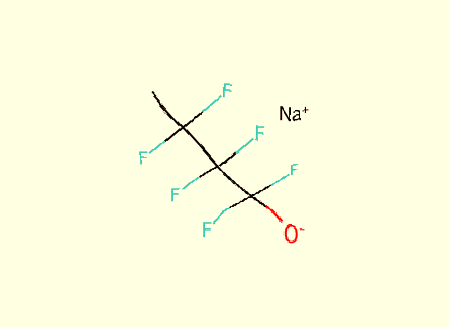 CC(F)(F)C(F)(F)C([O-])(F)F.[Na+]